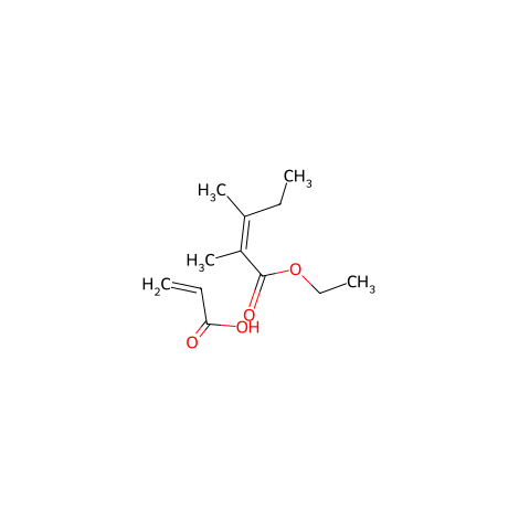 C=CC(=O)O.CCOC(=O)C(C)=C(C)CC